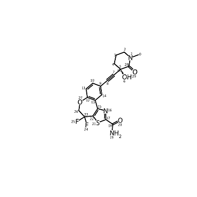 CN1CCC[C@@](O)(C#Cc2ccc3c(c2)-c2nc(C(N)=O)sc2C(F)(F)CO3)C1=O